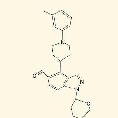 Cc1cccc(N2CCC(c3c(C=O)ccc4c3cnn4C3CCCCO3)CC2)c1